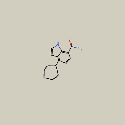 NC(=O)c1ccc(C2CCCCC2)c2cc[nH]c12